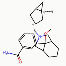 COC1(c2cccc(C(N)=O)c2)C2CCCC1CN(C[C@@H]1CC3C[C@H]3C1)C2